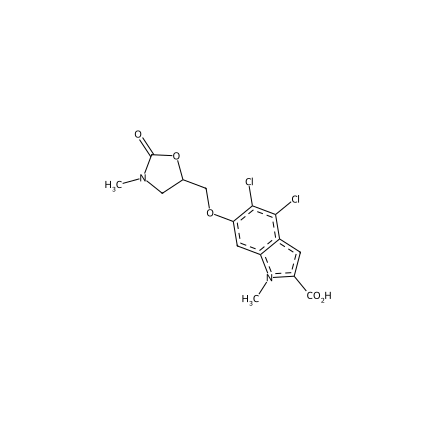 CN1CC(COc2cc3c(cc(C(=O)O)n3C)c(Cl)c2Cl)OC1=O